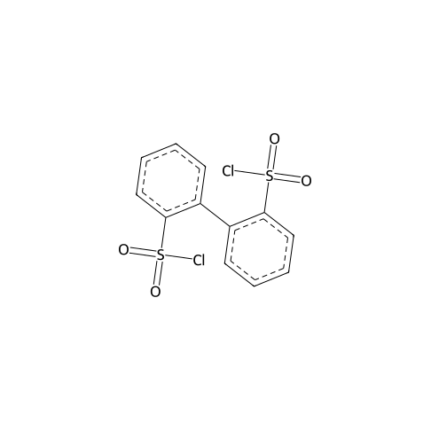 O=S(=O)(Cl)c1ccccc1-c1ccccc1S(=O)(=O)Cl